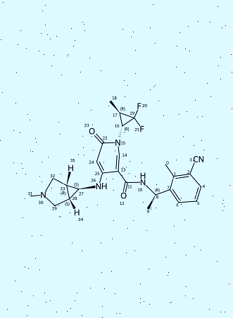 Cc1c(C#N)cccc1[C@@H](C)NC(=O)c1cn([C@@H]2[C@@H](C)C2(F)F)c(=O)cc1N[C@H]1[C@@H]2CN(C)C[C@@H]21